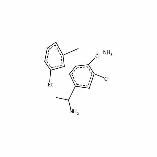 CC(N)c1ccc(Cl)c(Cl)c1.CCc1cccc(C)c1.N